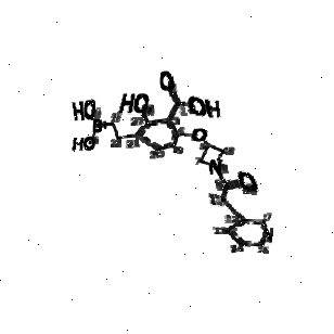 O=C(O)c1c(OC2CN(C(=O)Cc3cccnc3)C2)ccc(CCB(O)O)c1O